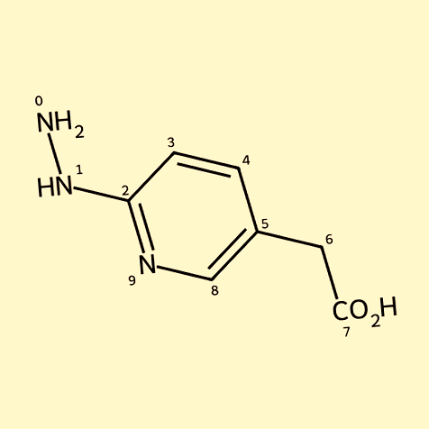 NNc1ccc(CC(=O)O)cn1